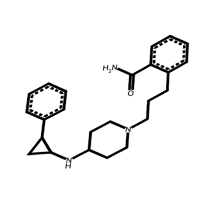 NC(=O)c1ccccc1CCCN1CCC(NC2CC2c2ccccc2)CC1